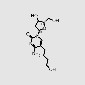 Nc1nc(=O)n([C@H]2CC(O)[C@@H](CO)O2)cc1CCCCO